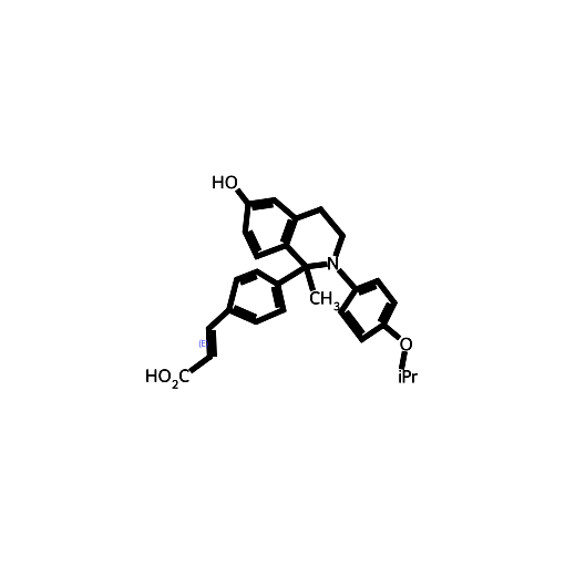 CC(C)Oc1ccc(N2CCc3cc(O)ccc3C2(C)c2ccc(/C=C/C(=O)O)cc2)cc1